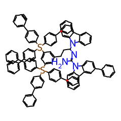 N/C(=N\C(CCc1cc(S(c2ccc(-c3c#cccc3)cc2)(c2ccc(-c3ccccc3)cc2)c2ccc(-c3ccccc3)cc2)cc(S(c2ccc(-c3ccccc3)cc2)(c2ccc(-c3ccccc3)cc2)c2ccc(-c3ccccc3)cc2)c1)n1c2ccccc2c2ccccc21)n1c2ccccc2c2cc(-c3ccccc3)ccc21